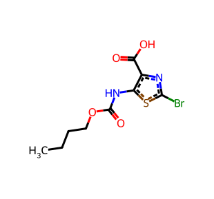 CCCCOC(=O)Nc1sc(Br)nc1C(=O)O